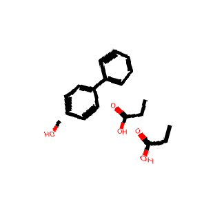 CCC(=O)O.CCC(=O)O.CO.c1ccc(-c2ccccc2)cc1